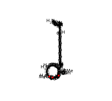 CO[C@H]1C[C@@H]2CCC[C@@](O)(O2)C(=O)C(=O)N2CCCC[C@H]2C(=O)O[C@H]([C@H](N)C[C@@H]2CC[C@@H](O)[C@H](OC)C2)C/C(=N/OCc2cn(CCOCCOCCOCCOCCOCCOCCOCCOCCC(=O)NCCCCn3nc(-c4ccc5oc(N)nc5c4)c4c(N)ncnc43)nn2)[C@H](C)/C=C(\C)[C@@H](O)[C@@H](O)C(=O)[C@H](C)C[C@H](C)/C=C/C=C/C=C/1C